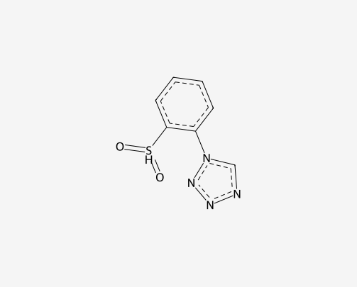 O=[SH](=O)c1ccccc1-n1cnnn1